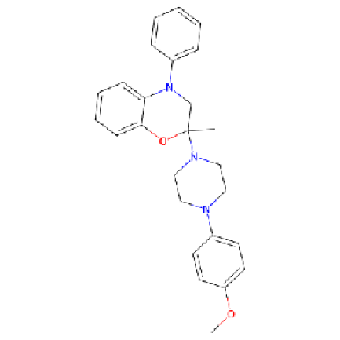 COc1ccc(N2CCN(C3(C)CN(c4ccccc4)c4ccccc4O3)CC2)cc1